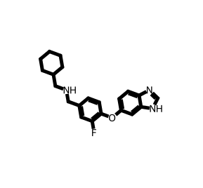 Fc1cc(CNCC2CCCCC2)ccc1Oc1ccc2nc[nH]c2c1